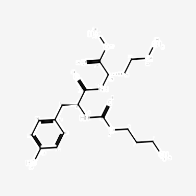 CCCCOC(=O)N[C@@H](Cc1ccc(O)cc1)C(=O)N[C@@H](CC[Se]C)C(=O)OC